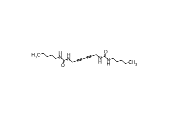 CCCCCNC(=O)NCC#CC#CCNC(=O)NCCCCC